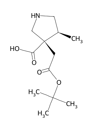 C[C@@H]1CNC[C@@]1(CC(=O)OC(C)(C)C)C(=O)O